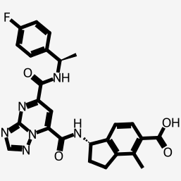 Cc1c(C(=O)O)ccc2c1CC[C@@H]2NC(=O)c1cc(C(=O)N[C@H](C)c2ccc(F)cc2)nc2ncnn12